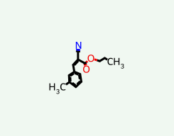 CCCOC(=O)C(C#N)=Cc1cccc(C)c1